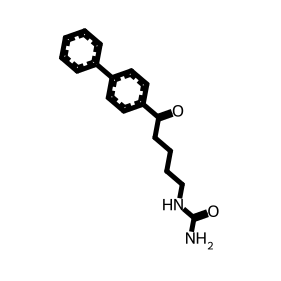 NC(=O)NCCCCC(=O)c1ccc(-c2ccccc2)cc1